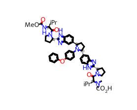 COC(=O)N[C@H](C(=O)N1CCC[C@H]1c1nc2cc([C@H]3CC[C@H](c4ccc5[nH]c([C@@H]6CCCN6C(=O)[C@H](C(C)C)N(C)C(=O)O)nc5c4)N3c3ccc(Oc4ccccc4)cc3)ccc2[nH]1)C(C)C